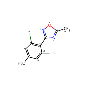 Cc1cc(F)c(-c2noc(C(F)(F)F)n2)c(F)c1